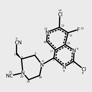 N#CC[C@H]1CN(c2nc(Cl)nc3c(F)c(Cl)ncc23)CCN1C#N